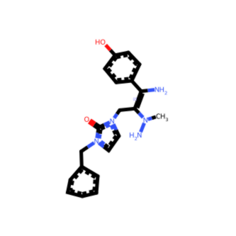 CN(N)/C(Cn1ccn(Cc2ccccc2)c1=O)=C(\N)c1ccc(O)cc1